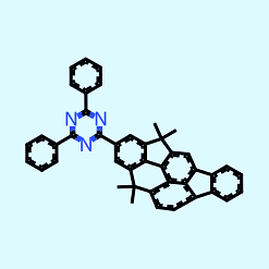 CC1(C)c2cc(-c3nc(-c4ccccc4)nc(-c4ccccc4)n3)cc3c2-c2c1cc1c4c(ccc(c24)C3(C)C)-c2ccccc2-1